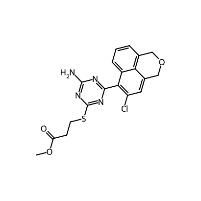 COC(=O)CCSc1nc(N)nc(-c2c(Cl)cc3c4c(cccc24)COC3)n1